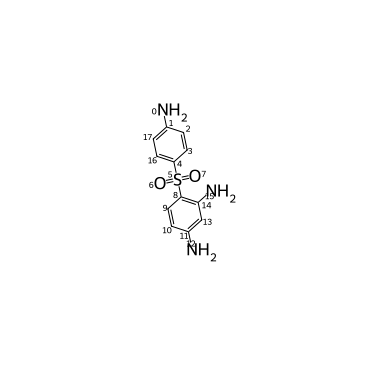 Nc1ccc(S(=O)(=O)c2ccc(N)cc2N)cc1